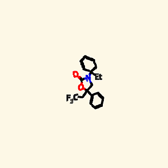 CCC1(N2CC(CC(F)(F)F)(c3ccccc3)OC2=O)C=CC=CC1